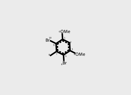 COc1cc(OC)c(Br)c(C)c1Br